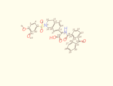 COc1ccc(S(=O)(=O)N2CCc3ccc(C(NC(=O)c4cccc5c4-c4ccccc4C5=O)C(=O)O)cc3C2)cc1OC